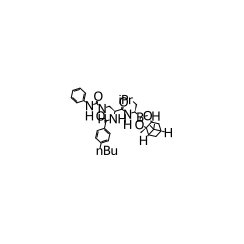 CCCCc1ccc(C(=O)N[C@@H](CNC(=O)Nc2ccccc2)C(=O)N[C@@H](CC(C)C)B2O[C@@H]3C[C@@H]4C[C@@H](C4(C)C)[C@]3(C)O2)cc1